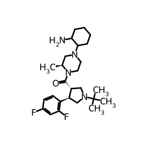 C[C@H]1CN(C2CCCC[C]2N)CCN1C(=O)[C@@H]1CN(C(C)(C)C)C[C@H]1c1ccc(F)cc1F